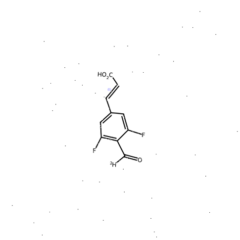 [2H]C(=O)c1c(F)cc(/C=C/C(=O)O)cc1F